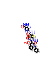 NC(=O)c1ccc(NC(=O)c2csc3c2S(=O)(=O)N=C(c2c(O)c4ccccc4n(Cc4ccccc4)c2=O)N3)nc1